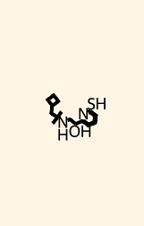 CC(C)(CC1CCC1)NCC(O)c1cccc(S)n1